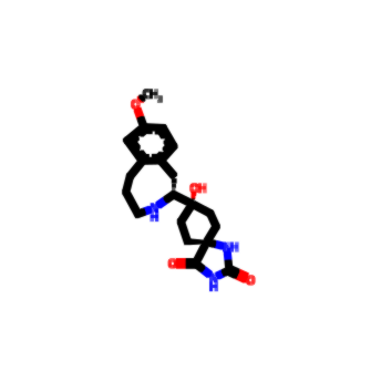 COc1ccc2c(c1)CCCN[C@@H]([C@]1(O)CC[C@@]3(CC1)NC(=O)NC3=O)C2